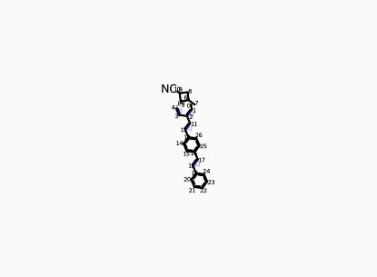 C/C=C(\C=C/[C@H]1C(C)CC1C#N)/C=C/c1ccc(/C=C/c2ccccc2)cc1